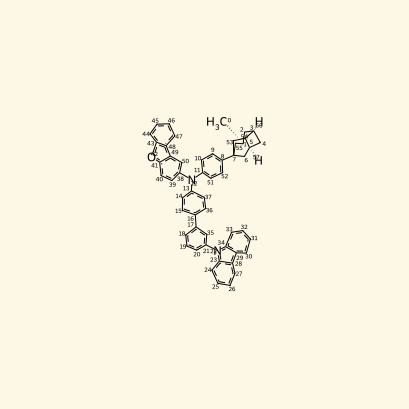 C[C@H]1C[C@H]2C[C@H]3CC(c4ccc(N(c5ccc(-c6cccc(-n7c8ccccc8c8ccccc87)c6)cc5)c5ccc6oc7ccccc7c6c5)cc4)(CC23)C1